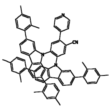 Cc1ccc(-c2ccc3c4ccc(-c5ccc(C)cc5C)cc4n(-c4cc(C#N)c(-c5ccncc5)cc4-n4c5cc(-c6ccc(C)cc6C)ccc5c5ccc(-c6ccc(C)cc6C)cc54)c3c2)c(C)c1